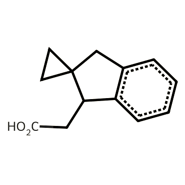 O=C(O)CC1c2ccccc2CC12CC2